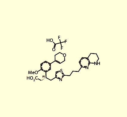 COc1ccc(C2=CCOCC2)cc1[C@@H](CC(=O)O)Cc1csc(CCCc2ccc3c(n2)NCCC3)n1.O=C(O)C(F)(F)F